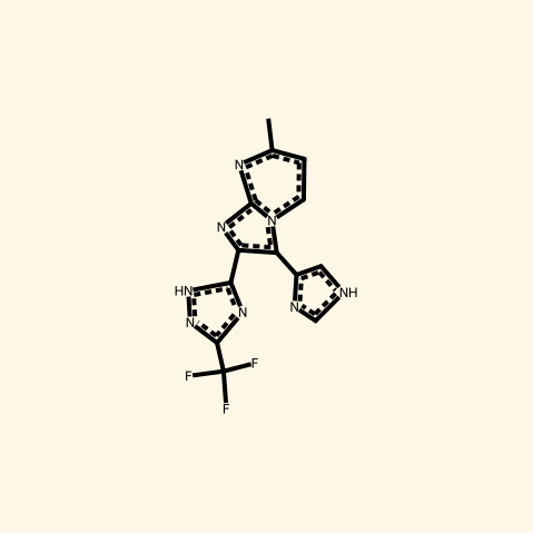 Cc1ccn2c(-c3c[nH]cn3)c(-c3nc(C(F)(F)F)n[nH]3)nc2n1